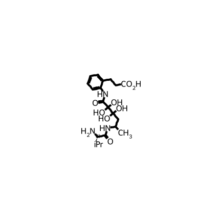 CC(CC(O)(O)C(O)(O)C(=O)Nc1ccccc1CCC(=O)O)NC(=O)[C@@H](N)C(C)C